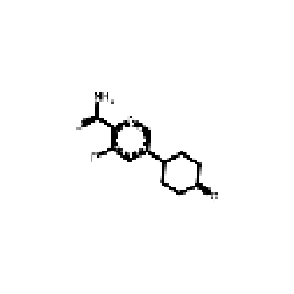 NC(=O)c1ncc(C2CCC(=O)CC2)cc1F